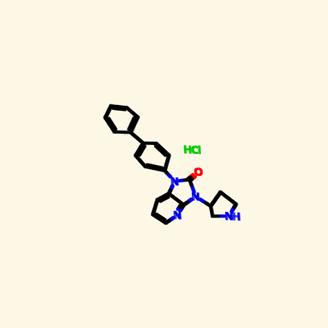 Cl.O=c1n(-c2ccc(-c3ccccc3)cc2)c2cccnc2n1C1CCNC1